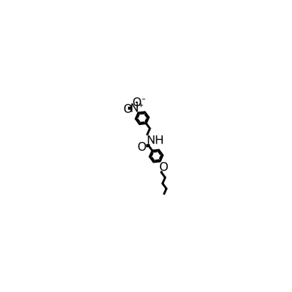 CCCCCOc1ccc(C(=O)NCCc2ccc([N+](=O)[O-])cc2)cc1